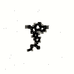 CCOC(=O)N1CCC2(C1)CC1(C2)OB(O)c2cnc3[nH]ccc3c21